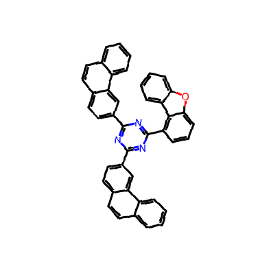 c1ccc2c(c1)ccc1ccc(-c3nc(-c4ccc5ccc6ccccc6c5c4)nc(-c4cccc5oc6ccccc6c45)n3)cc12